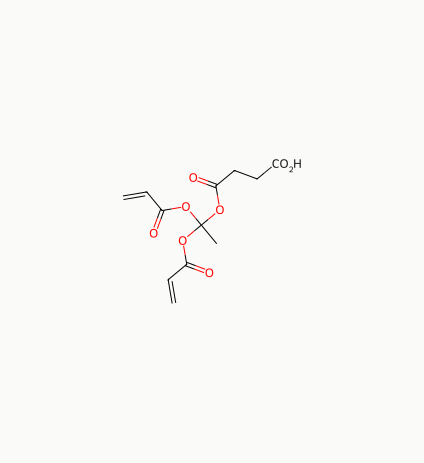 C=CC(=O)OC(C)(OC(=O)C=C)OC(=O)CCC(=O)O